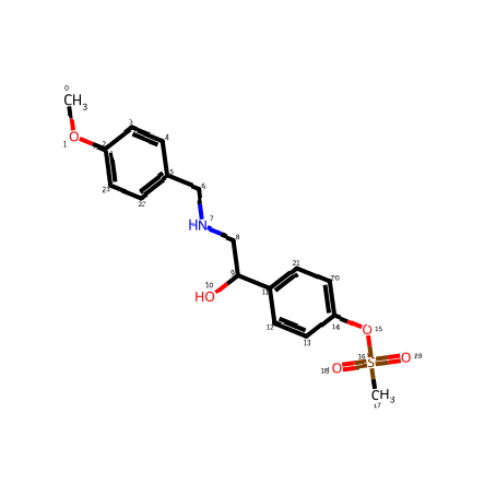 COc1ccc(CNCC(O)c2ccc(OS(C)(=O)=O)cc2)cc1